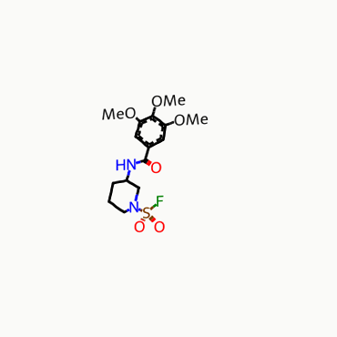 COc1cc(C(=O)NC2CCCN(S(=O)(=O)F)C2)cc(OC)c1OC